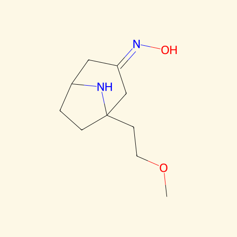 COCCC12CCC(CC(=NO)C1)N2